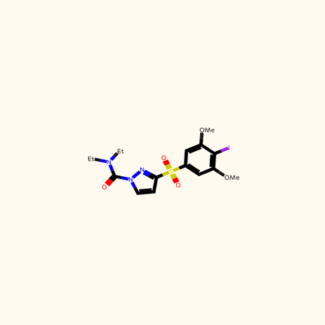 CCN(CC)C(=O)n1ccc(S(=O)(=O)c2cc(OC)c(I)c(OC)c2)n1